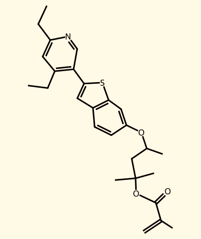 C=C(C)C(=O)OC(C)(C)CC(C)Oc1ccc2cc(-c3cnc(CC)cc3CC)sc2c1